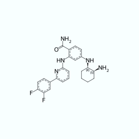 NC(=O)c1ccc(N[C@@H]2CCCC[C@@H]2N)cc1Nc1cccc(-c2ccc(F)c(F)c2)n1